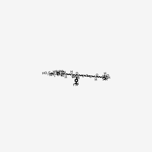 N[C@@H](CCSC[C@H]1O[C@@H](n2cnc3c(NCCCCNC(=O)C[C@H](NC(=O)c4ccc(C5(CF)N=N5)cc4)C(=O)NCCCOCCOCCOCCCNC(=O)CCCC[C@@H]4SC[C@@H]5NC(=O)N[C@@H]54)ncnc32)C(O)C1O)C(=O)O